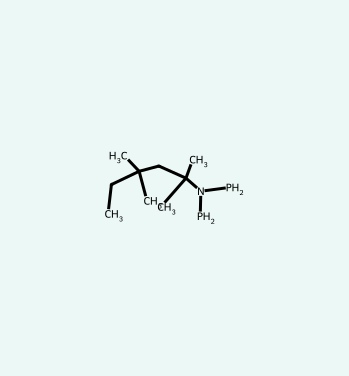 CCC(C)(C)CC(C)(C)N(P)P